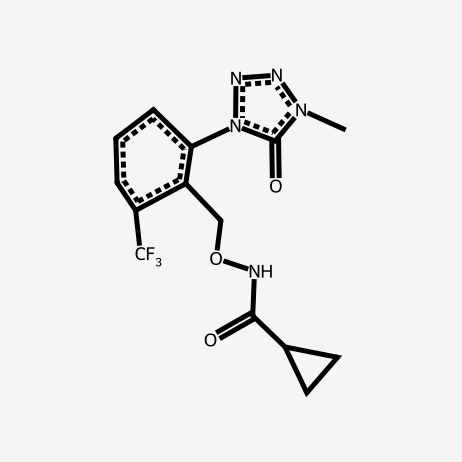 Cn1nnn(-c2cccc(C(F)(F)F)c2CONC(=O)C2CC2)c1=O